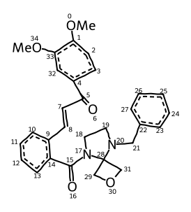 COc1ccc(C(=O)/C=C/c2ccccc2C(=O)N2CCN(Cc3ccccc3)C23COC3)cc1OC